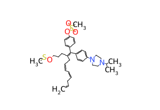 C=CC/C=C\C=C/C/C(CCCOSC)=C(/c1ccc(OS(C)(=O)=O)cc1)c1ccc(N2CCN(C(C)C)CC2)cc1